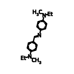 CCN(C)c1ccc(C=Nc2ccc(N(C)CC)cc2)cc1